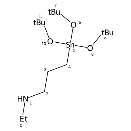 CCNCC[CH2][Sn]([O]C(C)(C)C)([O]C(C)(C)C)[O]C(C)(C)C